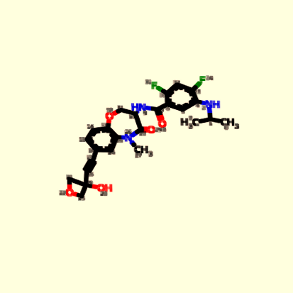 CC(C)Nc1cc(C(=O)N[C@H]2COc3ccc(C#CC4(O)COC4)cc3N(C)C2=O)c(F)cc1F